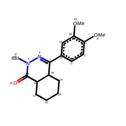 COc1ccc(C2=NN(C(C)(C)C)C(=O)C3CCCCC23)cc1OC